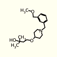 COCc1cccc(CN2CCC(OCCC(C)(C)O)CC2)c1